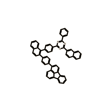 c1ccc(-c2nc(-c3ccc(-c4c(-c5ccc(-c6ccc7c8c(cccc68)-c6ccccc6-7)cc5)ccc5ccccc45)cc3)nc(-c3ccc4ccccc4c3)n2)cc1